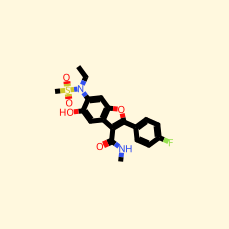 CCN(c1cc2oc(-c3ccc(F)cc3)c(C(=O)NC)c2cc1O)S(C)(=O)=O